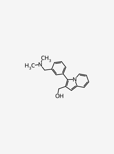 CN(C)Cc1cccc(-c2c(CO)cc3ccccn23)c1